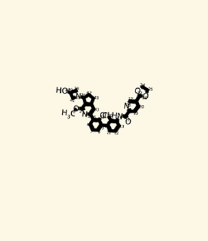 COc1nc(-c2cccc(-c3cccc(NC(=O)c4ccc(C5OCCO5)cn4)c3Cl)c2Cl)cc2c1C(N1CC(O)C1)CC2